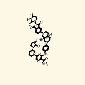 CN1CCN([C@H]2CCCN(c3cnc(C(N)=O)c(Nc4ccc(N5CC[C@@H]6CCN(c7ccc8c(c7)C(=O)N(N7CCC(=O)NC7=O)C8=O)C[C@H]6C5)cc4)n3)C2)C1=O